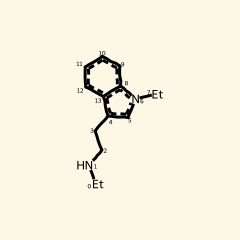 CCNCCc1cn(CC)c2ccccc12